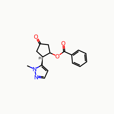 Cn1nccc1[C@H]1CC(=O)CC1OC(=O)c1ccccc1